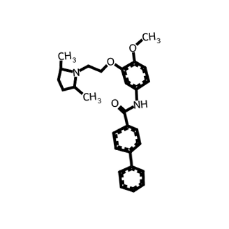 COc1ccc(NC(=O)c2ccc(-c3ccccc3)cc2)cc1OCCN1C(C)CCC1C